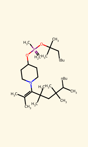 C=P(C)(OC1CCN(C(=C(C)C)C(C)(C)CC(C)(C)C(C)CCCC)CC1)OC(C)(C)CC(C)(C)C